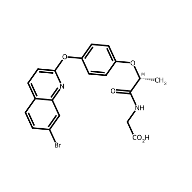 C[C@@H](Oc1ccc(Oc2ccc3ccc(Br)cc3n2)cc1)C(=O)NCC(=O)O